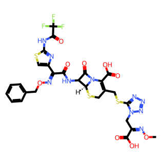 CON=C(Cn1nnnc1SCC1=C(C(=O)O)N2C(=O)C(NC(=O)C(=NOCc3ccccc3)c3csc(NC(=O)C(F)(F)F)n3)[C@@H]2SC1)C(=O)O